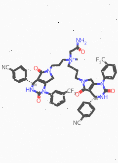 C[N+](CCCN1CC2=C(C1=O)[C@@H](c1ccc(C#N)cc1)NC(=O)N2c1cccc(C(F)(F)F)c1)(CCCN1CC2=C(C1=O)[C@@H](c1ccc(C#N)cc1)NC(=O)N2c1cccc(C(F)(F)F)c1)CC(N)=O